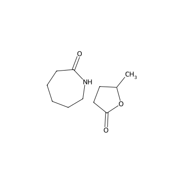 CC1CCC(=O)O1.O=C1CCCCCN1